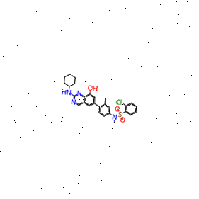 Cc1cc(N(C)S(=O)(=O)c2ccccc2Cl)ccc1-c1cc(O)c2nc(NC3CCCCC3)ncc2c1